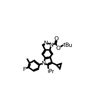 Cc1cc(-n2c(C(C)C)c(C3CC3)c3cc4c(cnn4C(=O)OC(C)(C)C)cc32)ccc1F